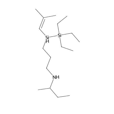 CCC(C)NCCC[SiH](C=C(C)C)[Si](CC)(CC)CC